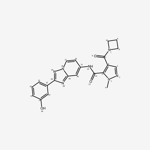 Cn1ncc(C(=O)N2CCC2)c1C(=O)Nc1ccn2nc(-c3cccc(O)c3)nc2c1